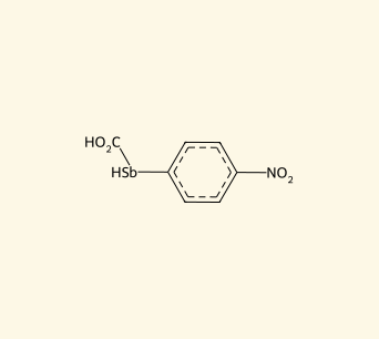 O=[C](O)[SbH][c]1ccc([N+](=O)[O-])cc1